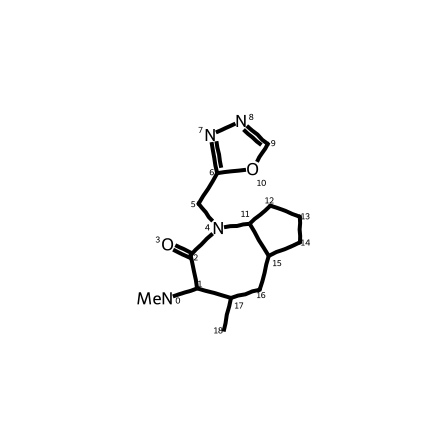 CNC1C(=O)N(Cc2nnco2)C2CCCC2CC1C